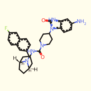 Nc1ccc2c(c1)[nH]c(=O)n2C1CCN(C(=O)NC2C[C@H]3CC[C@H](C2)N3Cc2ccc3cc(F)ccc3c2)CC1